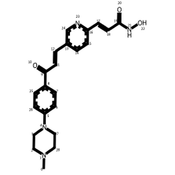 CN1CCN(c2ccc(C(=O)C=Cc3ccc(C=CC(=O)NO)nc3)cc2)CC1